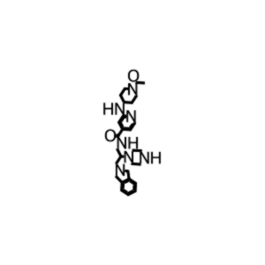 CC(=O)N1CCC(Nc2cc(C(=O)NCC(CN3Cc4ccccc4C3)N3CCNCC3)ccn2)CC1